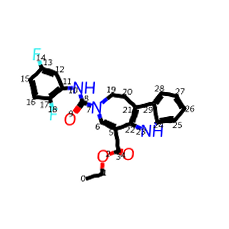 CCOC(=O)C1=CN(C(=O)Nc2cc(F)ccc2F)CCc2c1[nH]c1ccccc21